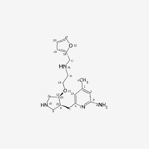 Cc1cc(N)nc(C[C@H]2CNC[C@H]2OCCNCc2ccco2)c1